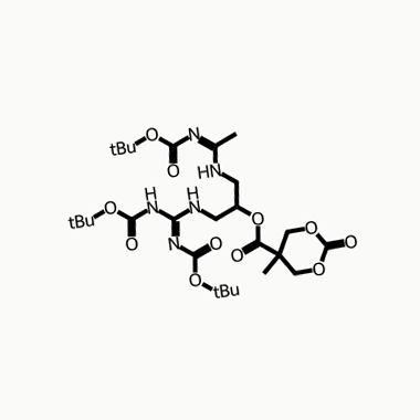 C/C(=N/C(=O)OC(C)(C)C)NCC(CN/C(=N\C(=O)OC(C)(C)C)NC(=O)OC(C)(C)C)OC(=O)C1(C)COC(=O)OC1